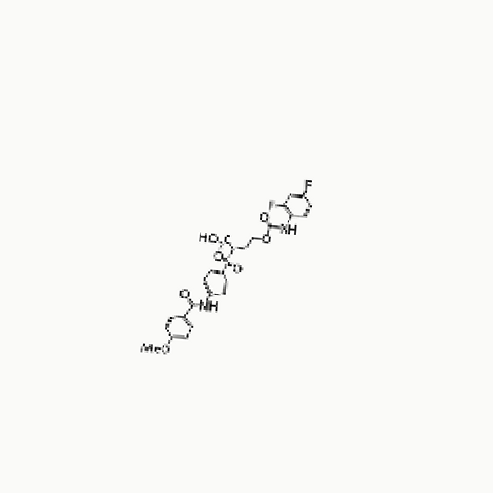 COc1ccc(C(=O)Nc2ccc(S(=O)(=O)C(CCOC(=O)Nc3ccc(F)cc3F)C(=O)O)cc2)cc1